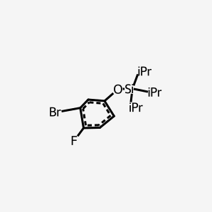 CC(C)[Si](Oc1ccc(F)c(Br)c1)(C(C)C)C(C)C